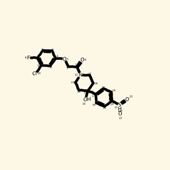 O=C(COc1ccc(F)c(Cl)c1)N1CCC(O)(c2ccc([SH](=O)=O)cc2)CC1